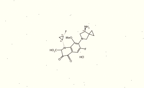 COc1c(N2C[C@@H](N)C3(CC3)C2)c(F)cc2c1N([C@@H]1C[C@@H]1F)C(C(=O)O)C(=O)C2=O.Cl